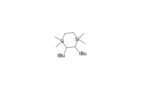 CC(C)(C)C1C(C(C)(C)C)[Si](C)(C)CC[Si]1(C)C